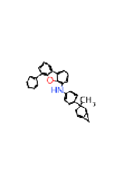 CC1(c2ccc(Nc3cccc4c3oc3c(-c5ccccc5)cccc34)cc2)CC=C2CC2C1